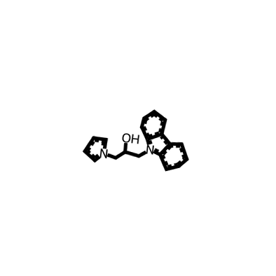 OC(Cn1cccc1)Cn1c2ccccc2c2ccccc21